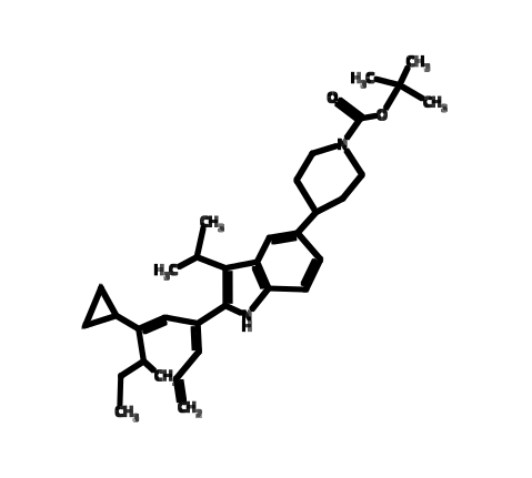 C=C/C=C(\C=C(/C(C)CC)C1CC1)c1[nH]c2ccc(C3CCN(C(=O)OC(C)(C)C)CC3)cc2c1C(C)C